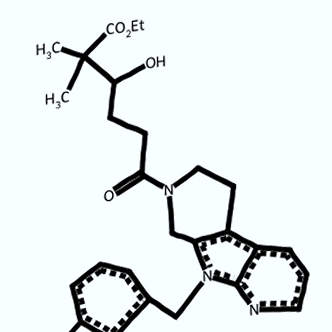 CCOC(=O)C(C)(C)C(O)CCC(=O)N1CCc2c(n(Cc3cccc(F)c3)c3ncccc23)C1